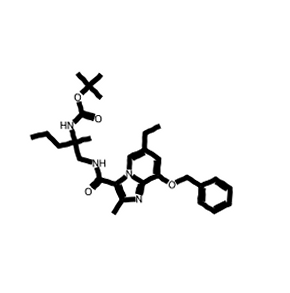 CCCC(C)(CNC(=O)c1c(C)nc2c(OCc3ccccc3)cc(CC)cn12)NC(=O)OC(C)(C)C